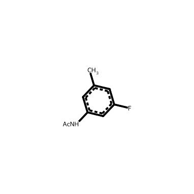 CC(=O)Nc1cc(C)cc(F)c1